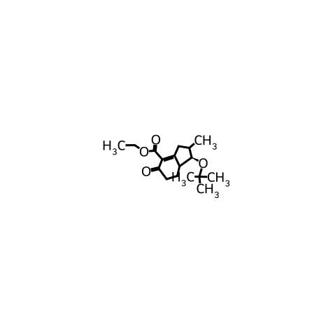 CCOC(=O)C1=C2CC(C)[C@@H](OC(C)(C)C)C2CCC1=O